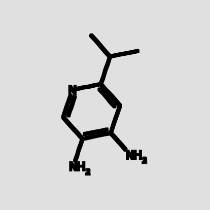 CC(C)c1cc(N)c(N)cn1